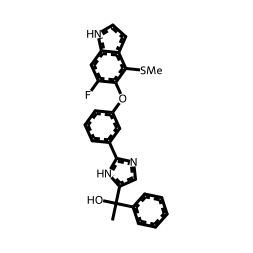 CSc1c(Oc2cccc(-c3ncc(C(C)(O)c4ccccc4)[nH]3)c2)c(F)cc2[nH]ccc12